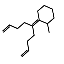 C=CCCC(CCC=C)=C1CCCCC1C